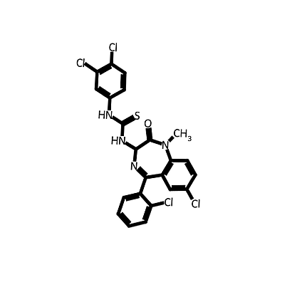 CN1C(=O)C(NC(=S)Nc2ccc(Cl)c(Cl)c2)N=C(c2ccccc2Cl)c2cc(Cl)ccc21